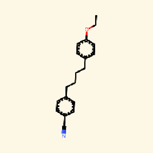 CCOc1ccc(CCCCc2ccc(C#N)cc2)cc1